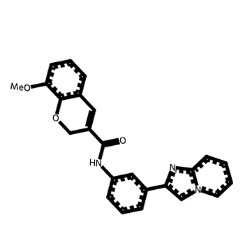 COc1cccc2c1OCC(C(=O)Nc1cccc(-c3cn4ccccc4n3)c1)=C2